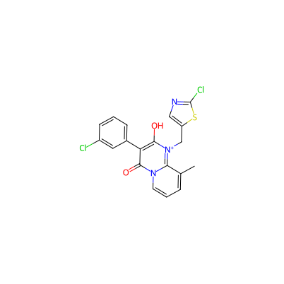 Cc1cccn2c(=O)c(-c3cccc(Cl)c3)c(O)[n+](Cc3cnc(Cl)s3)c12